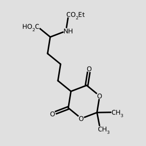 CCOC(=O)NC(CCCC1C(=O)OC(C)(C)OC1=O)C(=O)O